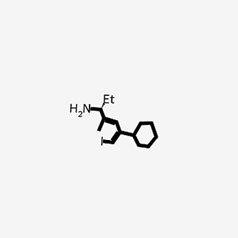 CC[C@@H](N)/C(C)=C/C(=C\I)C1CCCCC1